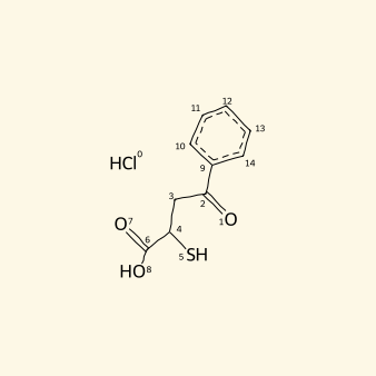 Cl.O=C(CC(S)C(=O)O)c1ccccc1